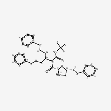 CC(C)(C)OC(=O)N(C(=O)[C@@H]1C[C@H](OCc2ccccc2)CN1)C(CCCc1ccccc1)CCCc1ccccc1